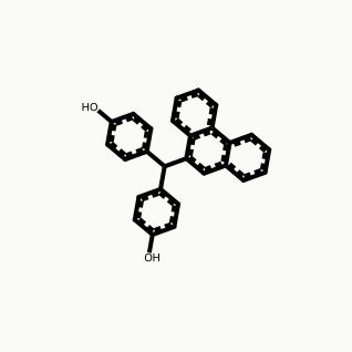 Oc1ccc(C(c2ccc(O)cc2)c2cc3ccccc3c3ccccc23)cc1